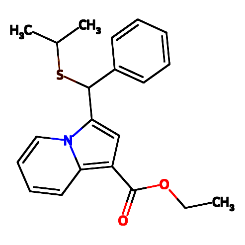 CCOC(=O)c1cc(C(SC(C)C)c2ccccc2)n2ccccc12